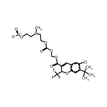 CN(CCOC(=O)OCOC(=O)C1=Cc2cc(Cl)c(C(C)(C)C)cc2OC1C(F)(F)F)CCO[N+](=O)[O-]